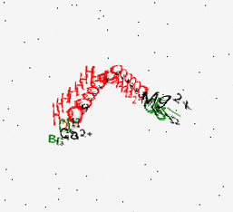 O.O.O.O.O.O.O.O.O.O.O.O.[Br-].[Br-].[Ca+2].[Cl-].[Cl-].[Mg+2]